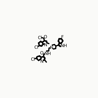 Cc1cc(C(=O)Cl)c2ccc(Cl)cc2n1.Cc1cc(C(=O)NCCCN2CCC(c3c[nH]c4cc(F)ccc34)CC2)c2ccc(Cl)cc2n1